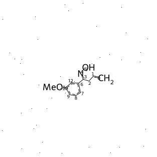 C=CCC(=NO)c1cccc(OC)c1